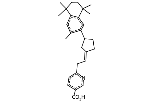 Cc1cc2c(cc1C1CCC(=CCc3ccc(C(=O)O)cn3)C1)C(C)(C)CCC2(C)C